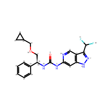 O=C(Nc1cc2[nH]nc(C(F)F)c2cn1)N[C@H](COCC1CC1)c1ccccc1